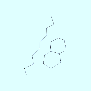 C1CCC2CCCCC2C1.CCCCCCCCCC